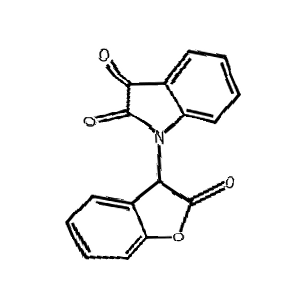 O=C1C(=O)N(C2C(=O)Oc3ccccc32)c2ccccc21